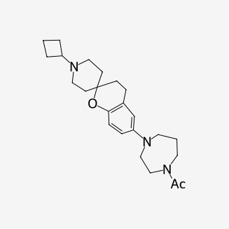 CC(=O)N1CCCN(c2ccc3c(c2)CCC2(CCN(C4CCC4)CC2)O3)CC1